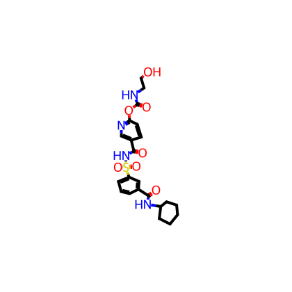 O=C(NCCO)Oc1ccc(C(=O)NS(=O)(=O)c2cccc(C(=O)NC3CCCCC3)c2)cn1